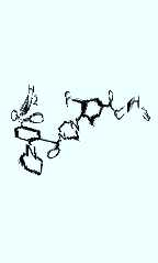 CC(=O)c1ccc(N2CCN(C(=O)c3cc(S(N)(=O)=O)ccc3N3CCCC3)CC2)c(F)c1